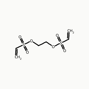 C=CS(=O)(=O)OCCOS(=O)(=O)C=C